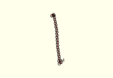 O=C(CCN1C(=O)C=CC1=O)NCCOCCOCCOCCOCCOCCOCCOCCOCCOCCOCCOCCOCCOCCOCCOCCOCCOCCOCCOCCOCCOCCOCCOCCOCCC(=O)ON1C(=O)CCC1=O